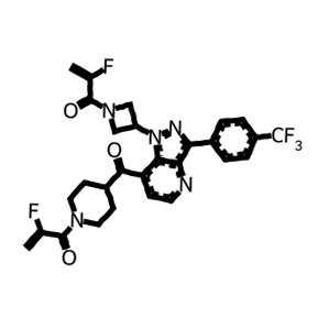 C=C(F)C(=O)N1CCC(C(=O)c2ccnc3c(-c4ccc(C(F)(F)F)cc4)nn(C4CN(C(=O)C(=C)F)C4)c23)CC1